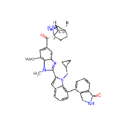 COc1cc(C(=O)[C@]23CC[C@H](CN2)[C@H]3N)cc2nc(-c3cc4cccc(-c5cccc6c5CNC6=O)c4n3CC3CC3)n(C)c12